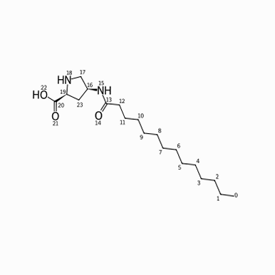 CCCCCCCCCCCCCC(=O)N[C@@H]1CN[C@H](C(=O)O)C1